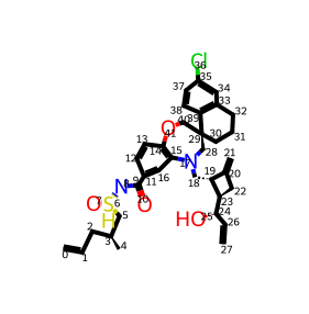 C=CC[C@H](C)C/[SH](=O)=N\C(=O)c1ccc2c(c1)N(C[C@@H]1C(=C)C[C@H]1[C@@H](O)C=C)C[C@@]1(CCCc3cc(Cl)ccc31)CO2